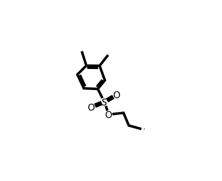 [CH2]CCOS(=O)(=O)c1ccc(C)c(C)c1